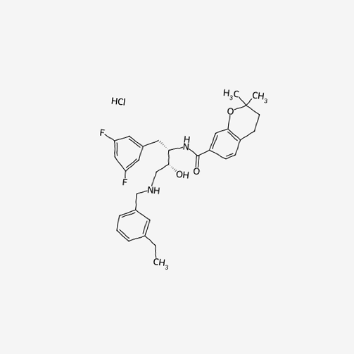 CCc1cccc(CNC[C@@H](O)[C@H](Cc2cc(F)cc(F)c2)NC(=O)c2ccc3c(c2)OC(C)(C)CC3)c1.Cl